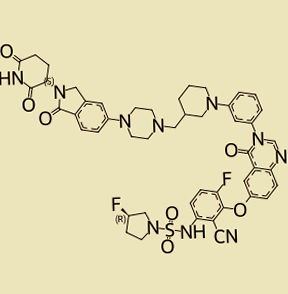 N#Cc1c(NS(=O)(=O)N2CC[C@@H](F)C2)ccc(F)c1Oc1ccc2ncn(-c3cccc(N4CCCC(CN5CCN(c6ccc7c(c6)CN([C@H]6CCC(=O)NC6=O)C7=O)CC5)C4)c3)c(=O)c2c1